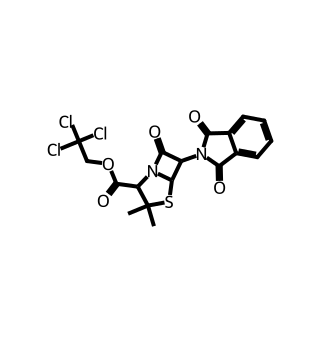 CC1(C)SC2C(N3C(=O)c4ccccc4C3=O)C(=O)N2C1C(=O)OCC(Cl)(Cl)Cl